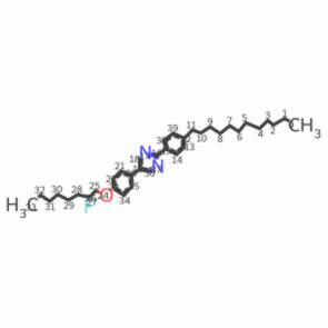 CCCCCCCCCCCCc1ccc(-c2ncc(-c3ccc(OCC(F)CCCCCC)cc3)cn2)cc1